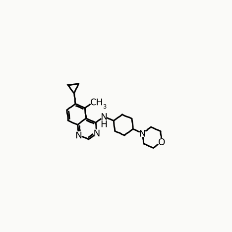 Cc1c(C2CC2)ccc2ncnc(NC3CCC(N4CCOCC4)CC3)c12